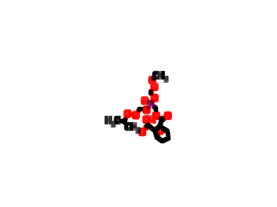 COOCOP(=O)(COC(=O)C1C2CCC(O2)C1C(=O)O)OCOOC(C)C